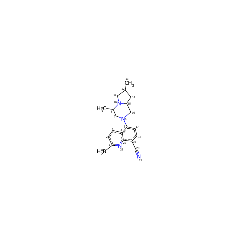 Bc1ccc2c(N3CC(C)N4CC(C)CC4C3)ccc(C#N)c2n1